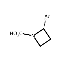 CC(=O)[C@@H]1CCN1C(=O)O